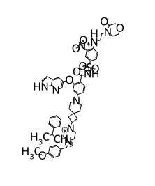 COc1ccc(CN2CCN(C3CC4(CCN(c5ccc(C(=O)NS(=O)(=O)c6ccc(NCCN7CCOCC7=O)c([N+](=O)[O-])c6)c(Oc6cnc7[nH]ccc7c6)c5)CC4)C3)[C@@H](c3ccccc3C(C)C)C2)cc1